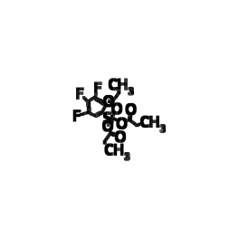 CCC(=O)O[Si](OC(=O)CC)(OC(=O)CC)c1cc(F)c(F)c(F)c1